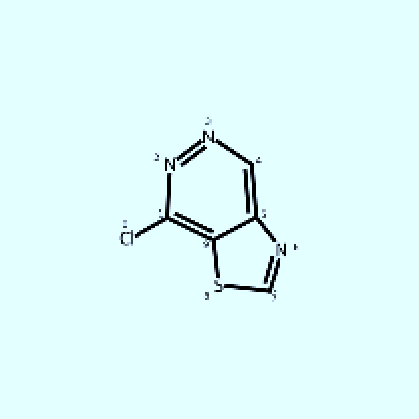 Clc1nncc2n[c]sc12